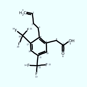 C=CCCc1c(CC(=O)O)cc(C(F)(F)F)cc1C(F)(F)F